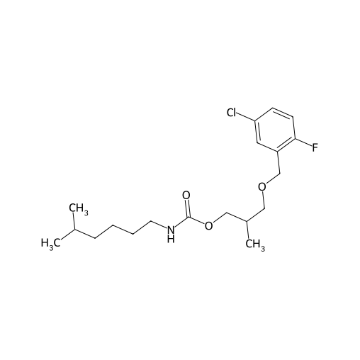 CC(C)CCCCNC(=O)OCC(C)COCc1cc(Cl)ccc1F